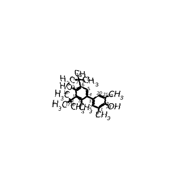 Cc1cc(-c2cc(C(C)(C)C)c(O)c(C(C)(C)C)c2C)cc(C)c1O